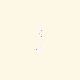 Cc1cccc(C(=O)N2CCC3(CC2)CC(C(=O)N2CCN(C4CCC4)CC2)C3)n1